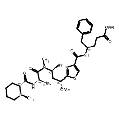 CC[C@H](C)[C@H](NC(=O)[C@H]1CCCCN1C)C(=O)N(C)[C@H](C[C@@H](OC)c1nc(C(=O)N[C@H](CCC(=O)OC)Cc2ccccc2)cs1)C(C)C